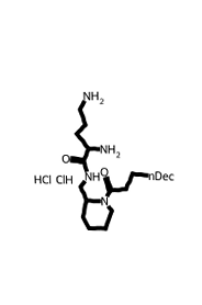 CCCCCCCCCCCCC(=O)N1CCCCC1CNC(=O)C(N)CCCN.Cl.Cl